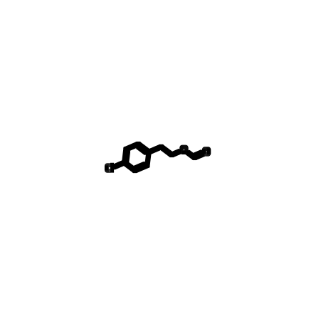 O=COCCc1ccc(Cl)cc1